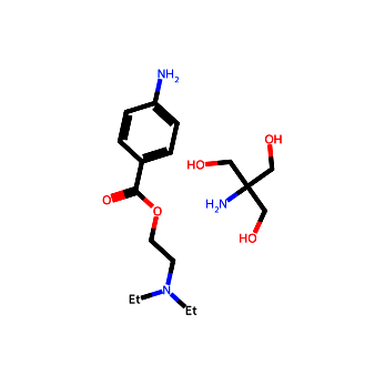 CCN(CC)CCOC(=O)c1ccc(N)cc1.NC(CO)(CO)CO